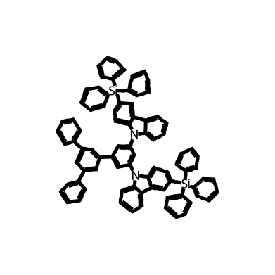 c1ccc(-c2cc(-c3ccccc3)cc(-c3cc(-n4c5ccccc5c5cc([Si](c6ccccc6)(c6ccccc6)c6ccccc6)ccc54)cc(-n4c5ccccc5c5cc([Si](c6ccccc6)(c6ccccc6)c6ccccc6)ccc54)c3)c2)cc1